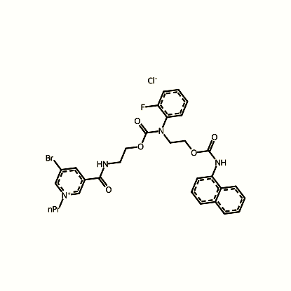 CCC[n+]1cc(Br)cc(C(=O)NCCOC(=O)N(CCOC(=O)Nc2cccc3ccccc23)c2ccccc2F)c1.[Cl-]